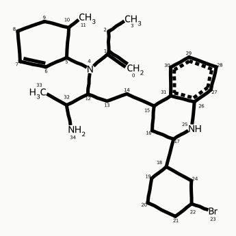 C=C(CC)N(C1C=CCCC1C)C(CCC1CC(C2CCCC(Br)C2)Nc2ccccc21)C(C)N